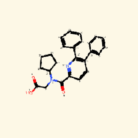 O=C(O)CN(C(=O)c1ccc(-c2ccccc2)c(-c2ccccc2)n1)C1CCCC1